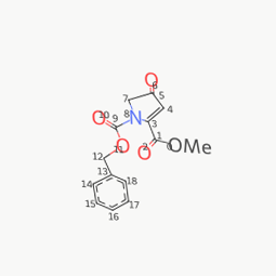 COC(=O)C1=CC(=O)CN1C(=O)OCc1ccccc1